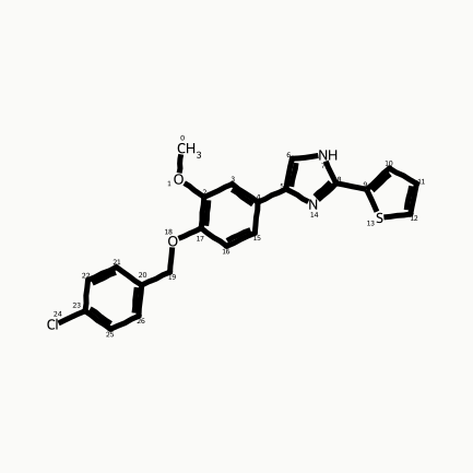 COc1cc(-c2c[nH]c(-c3cccs3)n2)ccc1OCc1ccc(Cl)cc1